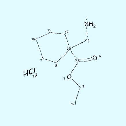 CCOC(=O)C1(CN)CCCCC1.Cl